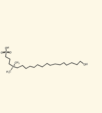 C[N+](C)(CCCCCCCCCCCCCCCCO)CCCS(=O)(=O)O